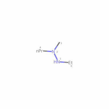 [CH2]CNN(C)CCC